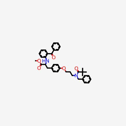 COC(=O)C(Cc1ccc(OCCCN(Cc2ccccc2)C(=O)C(C)(C)C)cc1)Nc1ccccc1C(=O)c1ccccc1